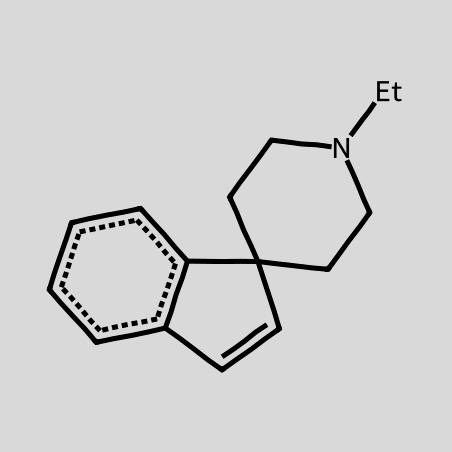 CCN1CCC2(C=Cc3ccccc32)CC1